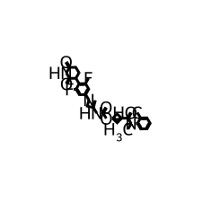 Cc1ccccc1N(C)C(=O)C12CC(OC(=O)NC3CN(c4cc(F)c(C5CCC(=O)NC5=O)c(F)c4)C3)(C1)C2